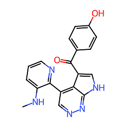 CNc1cccnc1-c1cnnc2[nH]cc(C(=O)c3ccc(O)cc3)c12